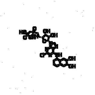 O=P(O)(O)CP(=O)(O)CC[C@H]1O[C@@H](n2cnc3c(Nc4cccc5cc(O)c(O)cc45)nc(Cl)nc32)C(O)[C@H]1O